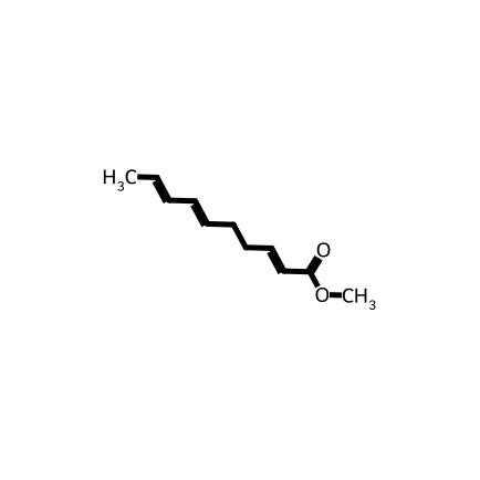 CC=CC=CCCC=CC(=O)OC